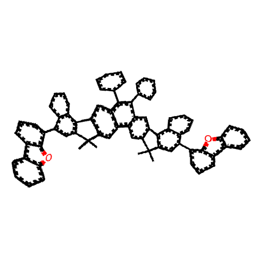 CC1(C)c2cc3c(cc2-c2c1cc(-c1cccc4c1oc1ccccc14)c1ccccc21)c(-c1ccccc1)c(-c1ccccc1)c1cc2c(cc13)C(C)(C)c1cc(-c3cccc4c3oc3ccccc34)c3ccccc3c1-2